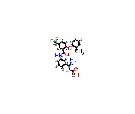 Cc1cc(F)ccc1Oc1ccc(C(F)(F)F)cc1C(=O)Nc1ccc(F)c(C(N)CC(=O)O)c1